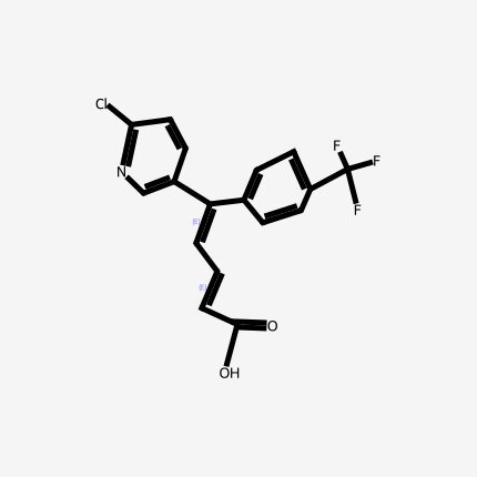 O=C(O)/C=C/C=C(\c1ccc(C(F)(F)F)cc1)c1ccc(Cl)nc1